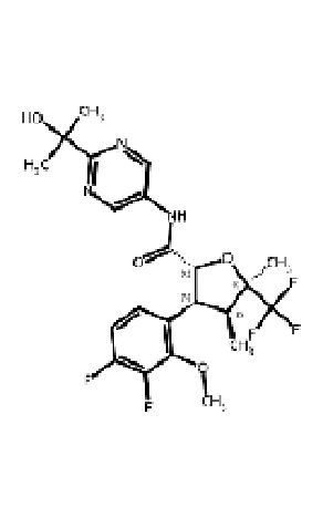 COc1c([C@H]2[C@H](C(=O)Nc3cnc(C(C)(C)O)nc3)O[C@@](C)(C(F)(F)F)[C@H]2C)ccc(F)c1F